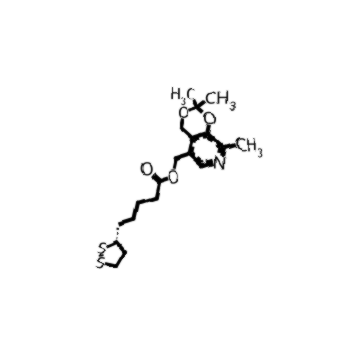 Cc1ncc(COC(=O)CCCC[C@@H]2CCSS2)c2c1OC(C)(C)OC2